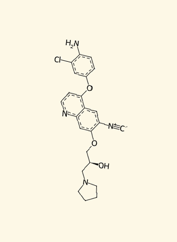 [C-]#[N+]c1cc2c(Oc3ccc(N)c(Cl)c3)ccnc2cc1OC[C@@H](O)CN1CCCC1